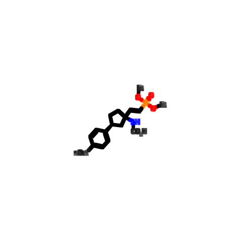 CCCCCCCCc1ccc([C@H]2CC[C@@](/C=C/P(=O)(OCC)OCC)(NC(=O)O)C2)cc1